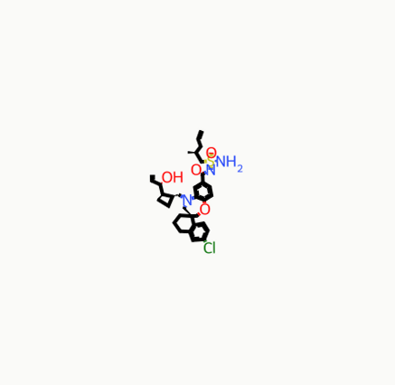 C=CC[C@H](C)C[S@](N)(=O)=NC(=O)c1ccc2c(c1)N(C[C@@H]1CC[C@H]1[C@@H](O)C=C)C[C@@]1(CCCc3cc(Cl)ccc31)CO2